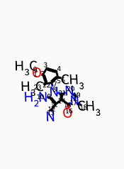 COc1ccc(C)c(-n2c(N)c(C#N)c3c(=O)n(C)cnc32)c1C